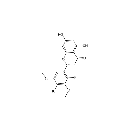 COc1cc(-c2cc(=O)c3c(O)cc(O)cc3o2)c(F)c(OC)c1O